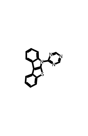 c1ccc2c(c1)sc1c2c2ccccc2n1-c1ncncn1